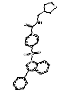 O=C(NCC1CCOC1)c1ccc(S(=O)(=O)n2cc(-c3ccccc3)c3ccccc32)cc1